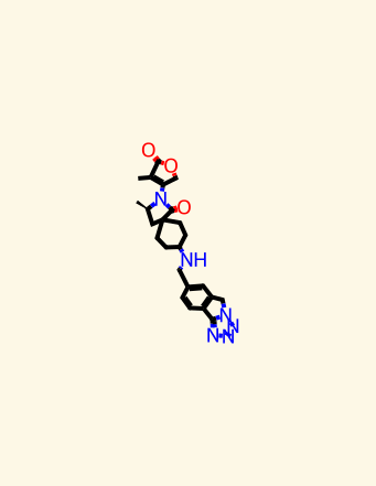 CC1=C(N2C(=O)C3(CCC(NCc4ccc5c(c4)Cn4nnnc4-5)CC3)C[C@H]2C)COC1=O